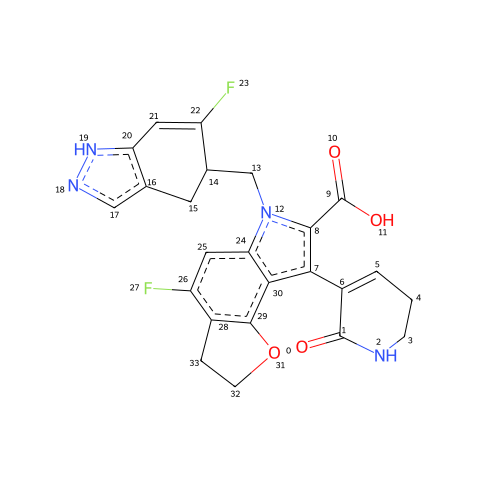 O=C1NCCC=C1c1c(C(=O)O)n(CC2Cc3cn[nH]c3C=C2F)c2cc(F)c3c(c12)OCC3